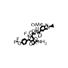 COc1cc(C(=O)NC[C@](O)(c2cc3c(c(-c4ccc(OC(F)F)cc4)n2)OC[C@]3(C)C(N)=O)C(F)(F)F)cc2cn(C3CC3)nc12